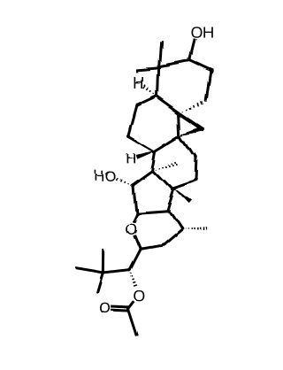 CC(=O)O[C@@H](C1C[C@@H](C)C2C(O1)[C@H](O)[C@@]1(C)[C@@H]3CC[C@H]4C(C)(C)C(O)CC[C@@]45C[C@@]35CC[C@]21C)C(C)(C)C